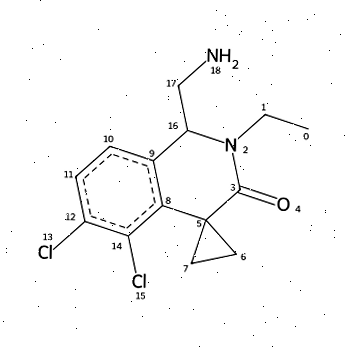 CCN1C(=O)C2(CC2)c2c(ccc(Cl)c2Cl)C1CN